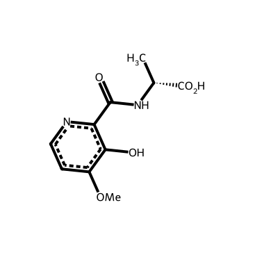 COc1ccnc(C(=O)N[C@H](C)C(=O)O)c1O